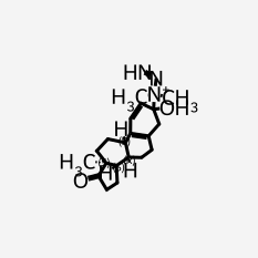 C[C@]12CC[C@@H]3C4=C(CC[C@H]3[C@@H]1CCC2=O)CC(O)([N+](C)(C)N=N)C=C4